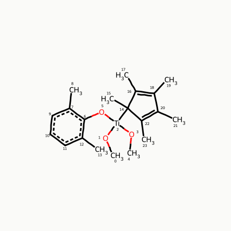 C[O][Ti]([O]C)([O]c1c(C)cccc1C)[C]1(C)C(C)=C(C)C(C)=C1C